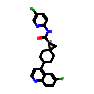 O=C(Nc1ccc(Cl)cn1)[C@H]1CC12CCC(c1ccnc3ccc(F)cc13)CC2